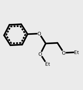 CCOCC(OCC)Oc1ccccc1